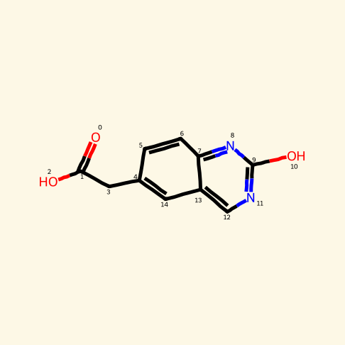 O=C(O)Cc1ccc2nc(O)ncc2c1